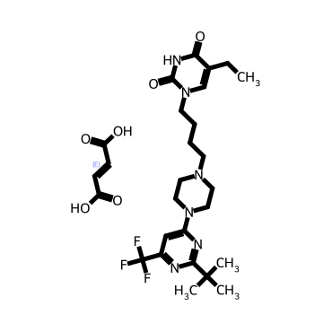 CCc1cn(CCCCN2CCN(c3cc(C(F)(F)F)nc(C(C)(C)C)n3)CC2)c(=O)[nH]c1=O.O=C(O)/C=C/C(=O)O